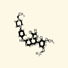 CCN1CCN(c2ccc(Nc3ncc4cc(-c5cc(OC)cc(OC)c5Cl)c5n[nH]c(=O)n5c4n3)cc2)CC1